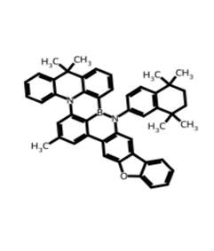 Cc1cc2c3c(c1)N1c4ccccc4C(C)(C)c4cccc(c41)B3N(c1ccc3c(c1)C(C)(C)CCC3(C)C)c1cc3c(cc1-2)oc1ccccc13